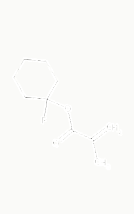 C=C(C)C(=O)OC1(F)CCCCC1